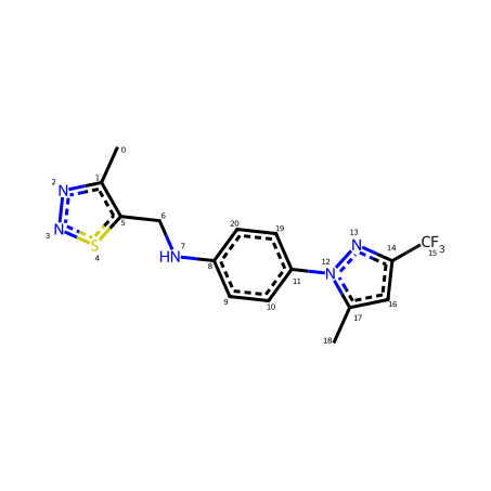 Cc1nnsc1CNc1ccc(-n2nc(C(F)(F)F)cc2C)cc1